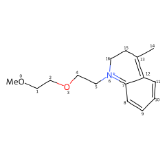 COCCOCC[N+]1=c2ccccc2=C(C)CC1